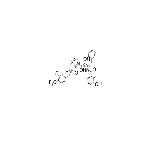 Cc1c(O)cccc1C(=O)N[C@@H](Cc1ccccc1)[C@H](O)C(=O)N1CSC(C)(C)[C@H]1C(=O)NCc1ccc(C(F)(F)F)c(F)c1